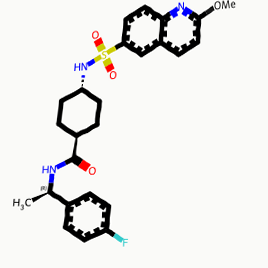 COc1ccc2cc(S(=O)(=O)N[C@H]3CC[C@H](C(=O)N[C@H](C)c4ccc(F)cc4)CC3)ccc2n1